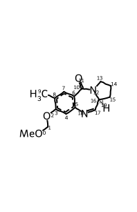 COCOc1cc2c(cc1C)C(=O)N1CCC[C@H]1C=N2